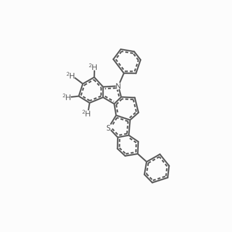 [2H]c1c([2H])c([2H])c2c(c1[2H])c1c3sc4ccc(-c5ccccc5)cc4c3ccc1n2-c1ccccc1